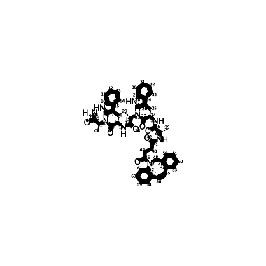 C[C@H](NC(=O)[C@H](Cc1c[nH]c2ccccc12)NC(=O)[C@H](C)NC(=O)[C@H](Cc1c[nH]c2ccccc12)NC(=O)[C@H](C)NC(=O)CCC(=O)N1Cc2ccccc2C#Cc2ccccc21)C(N)=O